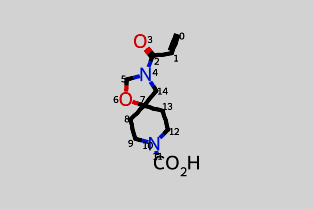 C=CC(=O)N1COC2(CCN(C(=O)O)CC2)C1